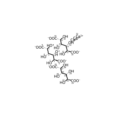 O=C([O-])[C@@H](O)[C@@H](O)[C@H](O)[C@@H](O)C(=O)[O-].O=C([O-])[C@@H](O)[C@@H](O)[C@H](O)[C@@H](O)C(=O)[O-].O=C([O-])[C@@H](O)[C@@H](O)[C@H](O)[C@@H](O)C(=O)[O-].[Ca+2].[Ca+2].[Ca+2]